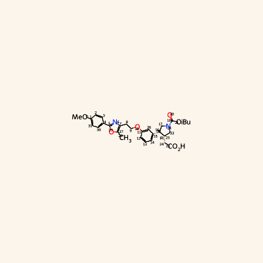 COc1ccc(-c2nc(CCOc3cccc([C@@H]4CN(C(=O)OCC(C)C)C[C@@H]4CC(=O)O)c3)c(C)o2)cc1